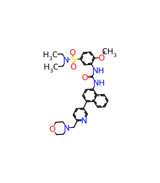 CCN(CC)S(=O)(=O)c1ccc(OC)c(NC(=O)Nc2ccc(-c3ccc(CN4CCOCC4)nc3)c3ccccc23)c1